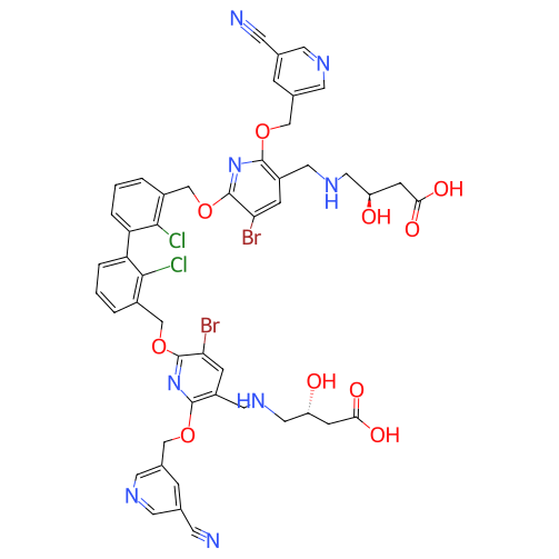 N#Cc1cncc(COc2nc(OCc3cccc(-c4cccc(COc5nc(OCc6cncc(C#N)c6)c(CNC[C@H](O)CC(=O)O)cc5Br)c4Cl)c3Cl)c(Br)cc2CNC[C@H](O)CC(=O)O)c1